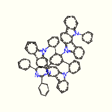 C1=CCC(c2nc(-c3ccccc3)cc(-c3cc(-c4ccccc4-n4c5ccccc5c5ccccc54)c(-n4c5ccccc5c5c4ccc4c6ccccc6n(-c6ccccc6)c45)c(-c4ccccc4-n4c5ccccc5c5ccccc54)c3)n2)C=C1